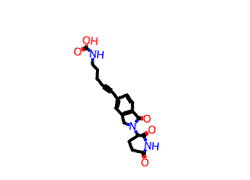 O=C(O)NCCCC#Cc1ccc2c(c1)CN(C1CCC(=O)NC1=O)C2=O